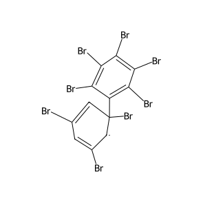 BrC1=CC(Br)=CC(Br)(c2c(Br)c(Br)c(Br)c(Br)c2Br)[CH]1